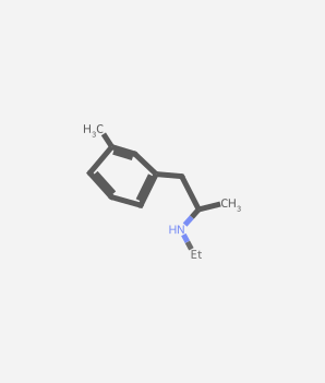 CCNC(C)Cc1cccc(C)c1